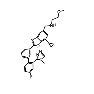 COCCNCc1cc(C2CC2)c2oc(-c3cccc(-c4ccc(F)cc4-c4nncn4C)c3)nc2c1